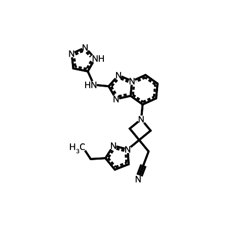 CCc1ccn(C2(CC#N)CN(c3cccn4nc(Nc5cnn[nH]5)nc34)C2)n1